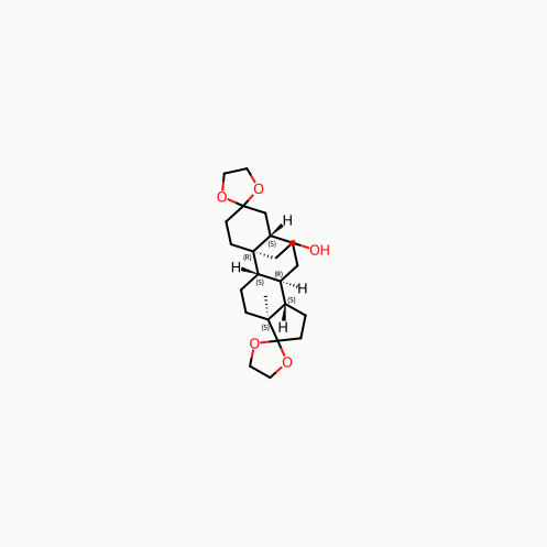 C[C@]12CC[C@H]3[C@@H](CC[C@H]4CC5(CC[C@@]43CCO)OCCO5)[C@@H]1CCC21OCCO1